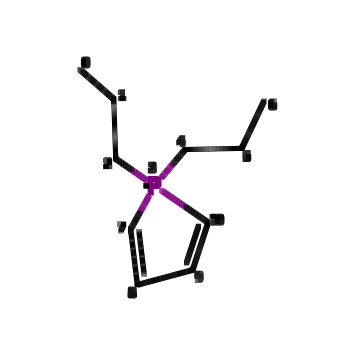 CCC[P]1(CCC)C=CC=C1